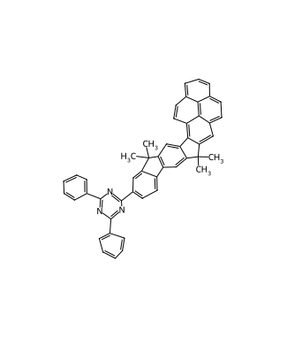 CC1(C)c2cc(-c3nc(-c4ccccc4)nc(-c4ccccc4)n3)ccc2-c2cc3c(cc21)-c1c(cc2ccc4cccc5ccc1c2c45)C3(C)C